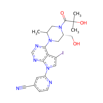 CC1CN(C(=O)C(C)(C)O)[C@H](CO)CN1c1ncnc2c1c(I)cn2-c1cc(C#N)ccn1